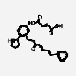 O=C(C=CC=Cc1ccccc1)CCc1ccccc1C1CCCN1.O=C(O)C=CC(=O)O